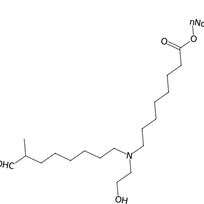 CCCCCCCCCOC(=O)CCCCCCCN(CCO)CCCCCCC(C)C=O